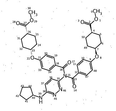 COC(=O)[C@H]1CC[C@@H](Oc2ccc(C(=O)N(C(=O)c3ccc(O[C@H]4CC[C@@H](C(=O)OC)CC4)cc3)c3ccc(NC4CCCC4)nn3)cc2)CC1